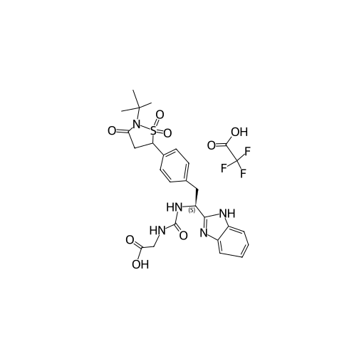 CC(C)(C)N1C(=O)CC(c2ccc(C[C@H](NC(=O)NCC(=O)O)c3nc4ccccc4[nH]3)cc2)S1(=O)=O.O=C(O)C(F)(F)F